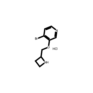 Brc1ccncc1OCC1CCN1.Cl